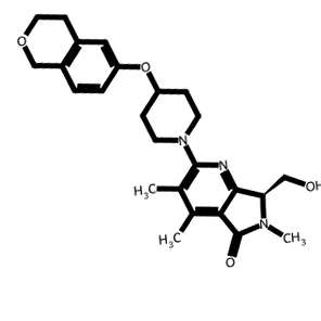 Cc1c(N2CCC(Oc3ccc4c(c3)CCOC4)CC2)nc2c(c1C)C(=O)N(C)[C@@H]2CO